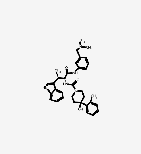 Cc1ccccc1C1(O)CCN(C(=O)N[C@@H](C(=O)Nc2cccc(CN(C)C)c2)[C@H](C)c2c[nH]c3ccccc23)CC1